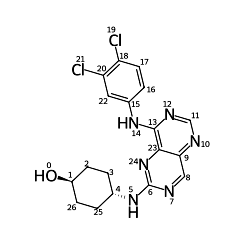 O[C@H]1CC[C@H](Nc2ncc3ncnc(Nc4ccc(Cl)c(Cl)c4)c3n2)CC1